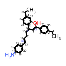 CCc1ccc(/C(O)=C/C(=C\C/C=C/c2ccc(N)cc2)c2ccc(CC)cc2)cc1